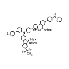 CCCCCCC(CCCCCC)C1=C(c2ccc(C3=CC=C(N(c4cccc(-c5ccc6c(c5)CC6)c4)c4ccc5c(c4)C(CCCCCC)(CCCCCC)c4cc(C(C)(CC)CC)ccc4-5)CC3)cc2)CCC(C2=CC=C(NC3=CC=CCC3)CC2)=C1